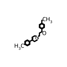 CCc1ccc(C(=O)CCN2CC=C(c3ccc(C)cc3)CC2)cc1